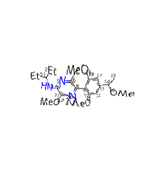 CCC(CC)Nc1nc(C)c(-c2c(OC)cc(C(C)OC)cc2OC)nc1OC